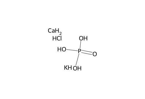 Cl.O=P(O)(O)O.[CaH2].[KH]